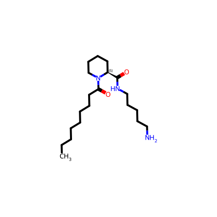 CCCCCCCCC(=O)N1CCCC[C@H]1C(=O)NCCCCCN